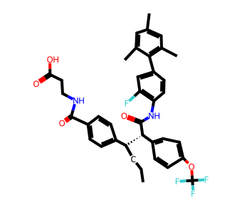 CCCC(c1ccc(C(=O)NCCC(=O)O)cc1)[C@H](C(=O)Nc1ccc(-c2c(C)cc(C)cc2C)cc1F)c1ccc(OC(F)(F)F)cc1